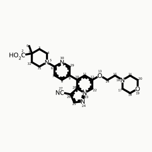 CC1(C(=O)O)CCN(c2ccc(-c3cc(OCCN4CCOCC4)cn4ncc(C#N)c34)cn2)CC1